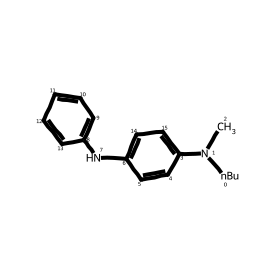 CCCCN(C)c1ccc(Nc2ccccc2)cc1